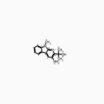 Cn1c2ccccc2c2cc(N)c(C(C)(C)O)nc21